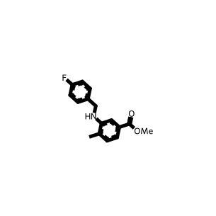 COC(=O)c1ccc(C)c(NCc2ccc(F)cc2)c1